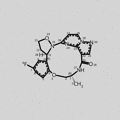 C[C@@H]1COc2ccc(F)cc2[C@H]2CCON2c2ccn3ncc(c3n2)C(=O)N1